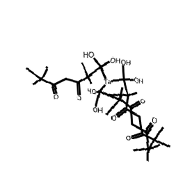 CC(C)(C)C(=O)CC(=O)C(C)(C)[C](O)(O)[Ta]([C](O)(O)C(C)(C)C(=O)CC(=O)C(C)(C)C)[C](O)(O)C(C)(C)C(=O)CC(=O)C(C)(C)C